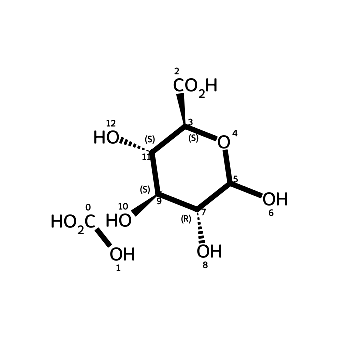 O=C(O)O.O=C(O)[C@H]1OC(O)[C@H](O)[C@@H](O)[C@@H]1O